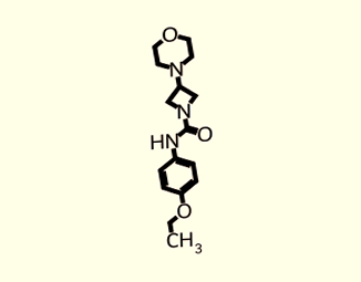 CCOc1ccc(NC(=O)N2CC(N3CCOCC3)C2)cc1